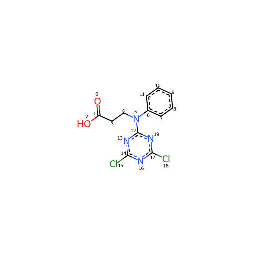 O=C(O)CCN(c1ccccc1)c1nc(Cl)nc(Cl)n1